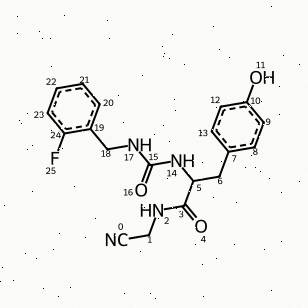 N#CCNC(=O)C(Cc1ccc(O)cc1)NC(=O)NCc1ccccc1F